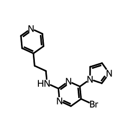 Brc1cnc(NCCc2ccncc2)nc1-n1ccnc1